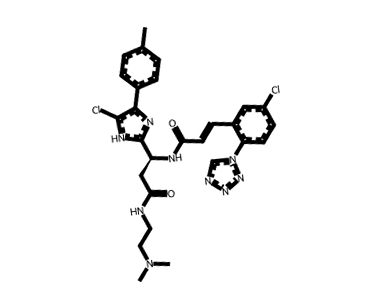 Cc1ccc(-c2nc([C@H](CC(=O)NCCN(C)C)NC(=O)/C=C/c3cc(Cl)ccc3-n3cnnn3)[nH]c2Cl)cc1